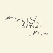 C#CCSCC(=O)N[C@@]1(C(=O)O)N2C(=O)[C@@H](OC)[C@H]2SC1(C)C